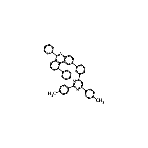 Cc1ccc(-c2cc(-c3cccc(-c4ccc5nc(-c6ccccc6)c6cccc(-c7ccccc7)c6c5c4)c3)nc(-c3ccc(C)cc3)n2)cc1